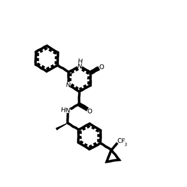 C[C@@H](NC(=O)c1cc(=O)[nH]c(-c2ccccc2)n1)c1ccc(C2(C(F)(F)F)CC2)cc1